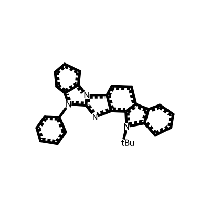 CC(C)(C)n1c2ccccc2c2ccc3c(nc4n(-c5ccccc5)c5ccccc5n34)c21